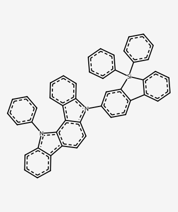 c1ccc(-n2c3ccccc3c3ccc4c(c5ccccc5n4-c4ccc5c(c4)[Si](c4ccccc4)(c4ccccc4)c4ccccc4-5)c32)cc1